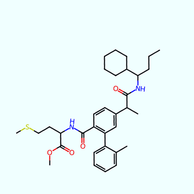 CCCC(NC(=O)C(C)c1ccc(C(=O)NC(CCSC)C(=O)OC)c(-c2ccccc2C)c1)C1CCCCC1